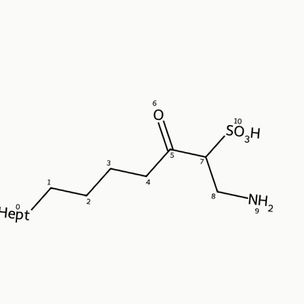 CCCCCCCCCCCC(=O)C(CN)S(=O)(=O)O